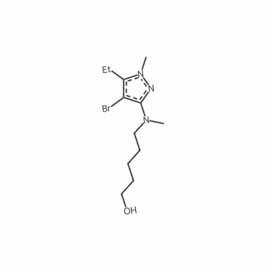 CCc1c(Br)c(N(C)CCCCCO)nn1C